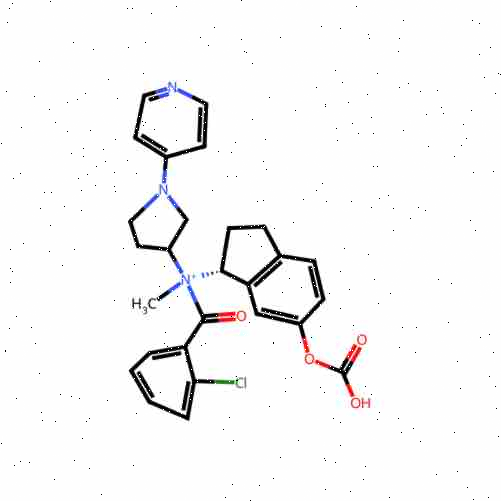 C[N+](C(=O)c1ccccc1Cl)(C1CCN(c2ccncc2)C1)[C@@H]1CCc2ccc(OC(=O)O)cc21